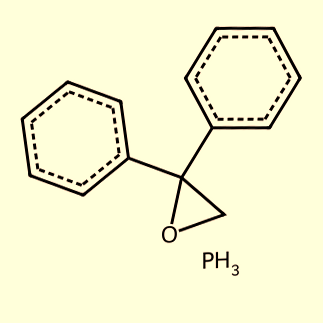 P.c1ccc(C2(c3ccccc3)CO2)cc1